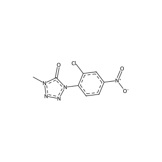 Cn1nnn(-c2ccc([N+](=O)[O-])cc2Cl)c1=O